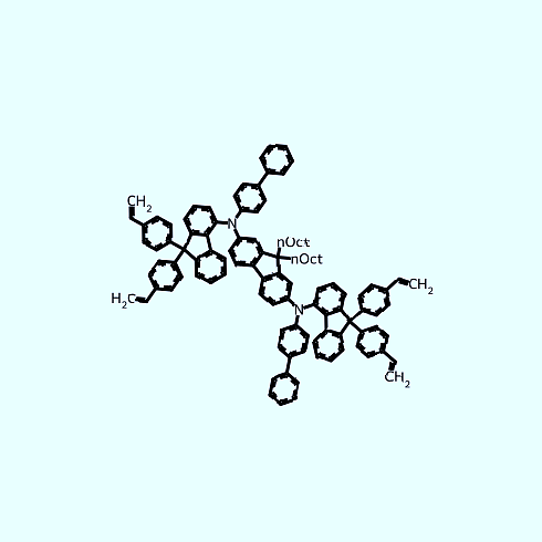 C=Cc1ccc(C2(c3ccc(C=C)cc3)c3ccccc3-c3c(N(c4ccc(-c5ccccc5)cc4)c4ccc5c(c4)C(CCCCCCCC)(CCCCCCCC)c4cc(N(c6ccc(-c7ccccc7)cc6)c6cccc7c6-c6ccccc6C7(c6ccc(C=C)cc6)c6ccc(C=C)cc6)ccc4-5)cccc32)cc1